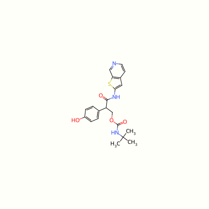 CC(C)(C)NC(=O)OCC(C(=O)Nc1cc2ccncc2s1)c1ccc(O)cc1